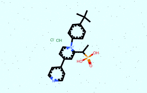 CC(c1cc(-c2ccncc2)cc[n+]1-c1ccc(C(C)(C)C)cc1)P(=O)(O)O.Cl.[Cl-]